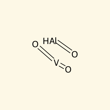 [O]=[AlH].[O]=[V]=[O]